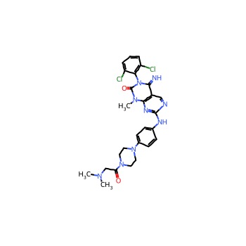 CN(C)CC(=O)N1CCN(c2ccc(Nc3ncc4c(=N)n(-c5c(Cl)cccc5Cl)c(=O)n(C)c4n3)cc2)CC1